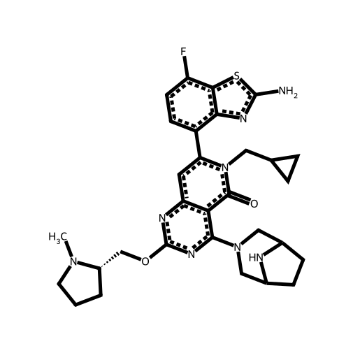 CN1CCC[C@H]1COc1nc(N2CC3CCC(C2)N3)c2c(=O)n(CC3CC3)c(-c3ccc(F)c4sc(N)nc34)cc2n1